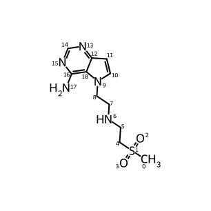 CS(=O)(=O)CCNCCn1ccc2ncnc(N)c21